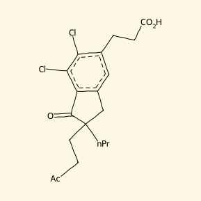 CCCC1(CCC(C)=O)Cc2cc(CCC(=O)O)c(Cl)c(Cl)c2C1=O